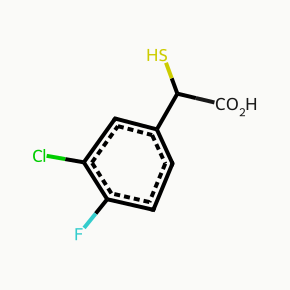 O=C(O)C(S)c1ccc(F)c(Cl)c1